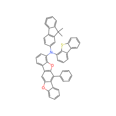 CC1(C)C2=CC=C=C=C2c2ccc(N(c3cccc4c3oc3c(-c5ccccc5)c5c(cc34)oc3ccccc35)c3cccc4c3sc3ccccc34)cc21